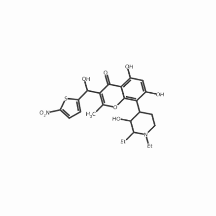 CCC1C(O)C(c2c(O)cc(O)c3c(=O)c(C(O)c4ccc([N+](=O)[O-])s4)c(C)oc23)CCN1CC